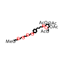 COCCOCCOCCOCCOc1ccc(CCCCO[C@@H]2O[C@H](COC(C)=O)[C@@H](OC(C)=O)[C@H](OC(C)=O)[C@H]2OC(C)=O)cc1